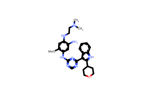 COc1cc(NCCN(C)C)c(N)cc1Nc1ncnc(-c2c(C3CCOCC3)[nH]c3ccccc23)n1